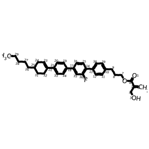 C=C(CO)C(=O)OCCCc1ccc(-c2ccc(-c3ccc(C4=CCC(CCCCC)CC4)cc3)cc2F)cc1